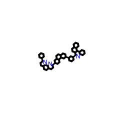 c1ccc(-c2ccc3ccc4ccc(-c5ccc6c(ccc7ccc(-c8cccc(-c9nc%10ccccc%10c%10c9ccc9ccccc9%10)c8)cc76)c5)nc4c3n2)cc1